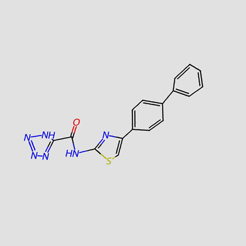 O=C(Nc1nc(-c2ccc(-c3ccccc3)cc2)cs1)c1nnn[nH]1